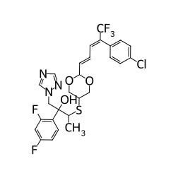 CC(SC1COC(C=CC=C(c2ccc(Cl)cc2)C(F)(F)F)OC1)C(O)(Cn1cncn1)c1ccc(F)cc1F